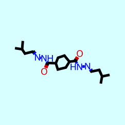 CC(C)C/C=N/NC(=O)C1CCC(C(=O)N/N=C/CC(C)C)CC1